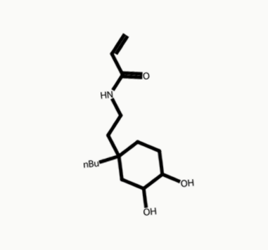 C=CC(=O)NCCC1(CCCC)CCC(O)C(O)C1